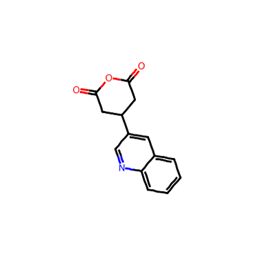 O=C1CC(c2cnc3ccccc3c2)CC(=O)O1